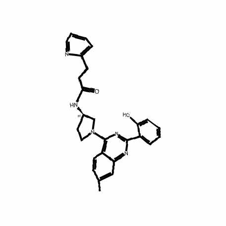 Cc1ccc2c(N3CC[C@@H](NC(=O)CCc4ccccn4)C3)nc(-c3ccccc3O)nc2c1